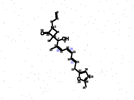 C=CCN1CC(C)(C(O)\C(C)=C/C=C\C=C\Cc2cnc(C)o2)C1=O